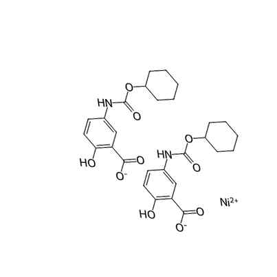 O=C(Nc1ccc(O)c(C(=O)[O-])c1)OC1CCCCC1.O=C(Nc1ccc(O)c(C(=O)[O-])c1)OC1CCCCC1.[Ni+2]